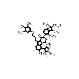 COc1c(N2C[C@@H](C)n3c(c(CCCOc4cc(C)c(Cl)c(C)c4)c4ccc(Cl)c(-c5c(C)nn(C)c5C)c43)C2=O)ccc2c1c(C)c(C(=O)O)n2C